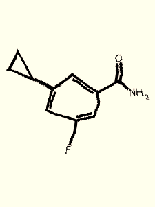 NC(=O)c1cc(F)cc(C2CC2)c1